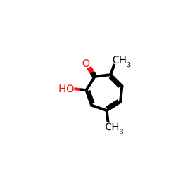 Cc1ccc(C)c(=O)c(O)c1